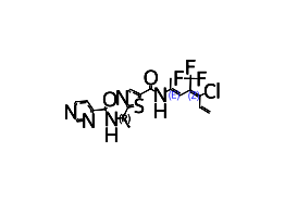 C=C/C(Cl)=C(\C=C(/C)NC(=O)c1cnc([C@@H](C)NC(=O)c2ccncn2)s1)C(F)(F)F